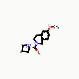 COc1ccc2c(c1)CCN(C(=O)[C@@H]1CCCN1)C2